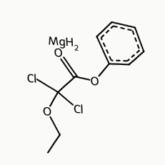 CCOC(Cl)(Cl)C(=O)Oc1ccccc1.[MgH2]